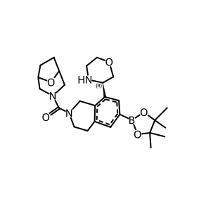 CC1(C)OB(c2cc3c(c([C@@H]4COCCN4)c2)CN(C(=O)N2CC4CCC(C2)O4)CC3)OC1(C)C